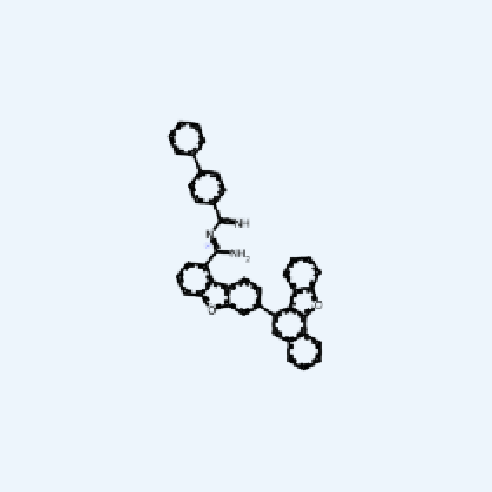 N=C(/N=C(\N)c1cccc2oc3cc(-c4cc5ccccc5c5oc6ccccc6c45)ccc3c12)c1ccc(-c2ccccc2)cc1